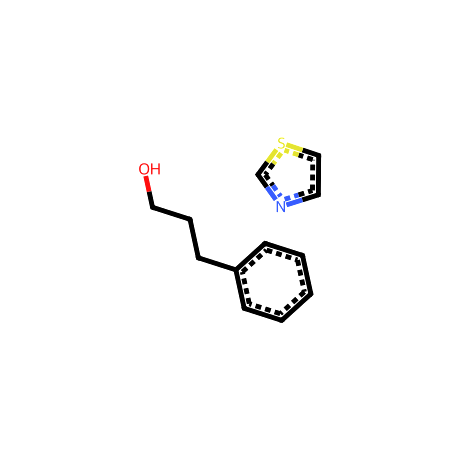 OCCCc1ccccc1.c1cscn1